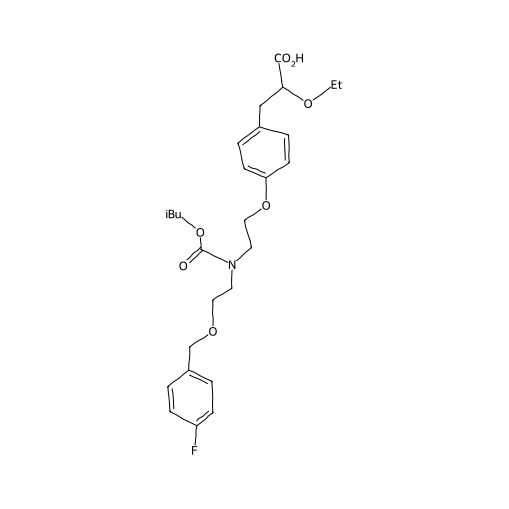 CCOC(Cc1ccc(OCCN(CCOCc2ccc(F)cc2)C(=O)OC(C)CC)cc1)C(=O)O